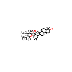 CC(=O)OC1C(OC(C)=O)[C@H](C(O)[C@]23CCC(C)(C)CC2C2=CCC4[C@@]5(C)CCC(=O)C(C)(C)C5CC[C@@]4(C)[C@]2(C)CC3)OC(C(=O)O)[C@H]1OC(C)=O